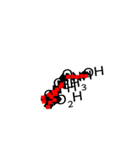 CN(CCN1CCC(OC(=O)N(c2ccccc2-c2ccccc2)N(C(=O)O)c2ccccc2-c2ccccc2)CC1)C(=O)c1ccc(C(=O)NCCNCc2ccc(O)cc2)s1